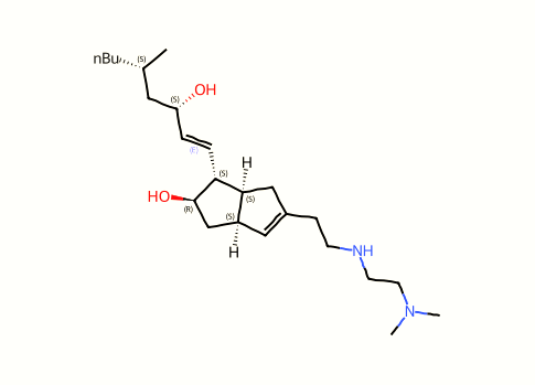 CCCC[C@H](C)C[C@H](O)/C=C/[C@@H]1[C@H]2CC(CCNCCN(C)C)=C[C@H]2C[C@H]1O